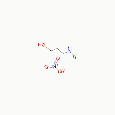 O=[N+]([O-])O.OCCCNCl